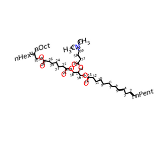 CCCCC/C=C/C/C=C/CCCCCCCC(=O)OCC(COC(=O)CCCCCC(=O)OCC(CCCCCC)CCCCCCCC)OC(=O)CCCN(C)C